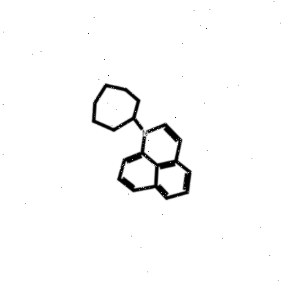 C1=CN(C2CCCCCC2)c2cccc3cccc1c23